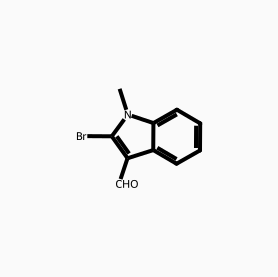 Cn1c(Br)c(C=O)c2ccccc21